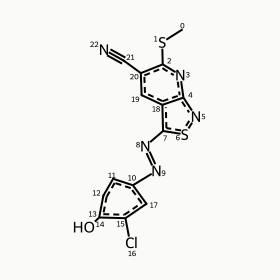 CSc1nc2nsc(/N=N/c3ccc(O)c(Cl)c3)c2cc1C#N